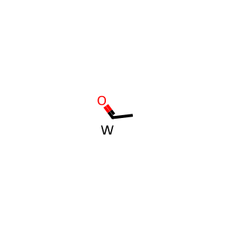 CC=O.[W]